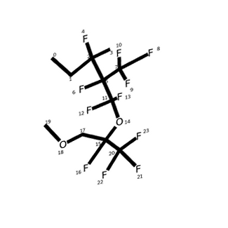 CCC(C)(F)C(F)(C(F)(F)F)C(F)(F)OC(F)(COC)C(F)(F)F